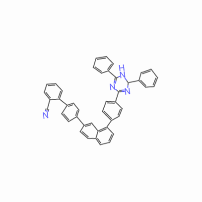 N#Cc1ccccc1-c1ccc(-c2ccc3cccc(-c4ccc(C5=NC(c6ccccc6)NC(c6ccccc6)=N5)cc4)c3c2)cc1